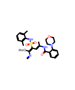 C=N/C(OC)=C(\C=C(/C)NC(=O)c1ccccc1N1CCOCC1)S(=O)(=O)Nc1c(C)cccc1C